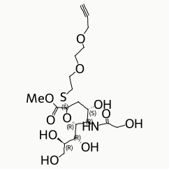 C#CCOCCOCCS[C@]1(C(=O)OC)C[C@H](O)[C@@H](NC(=O)CO)[C@H]([C@H](O)[C@H](O)CO)O1